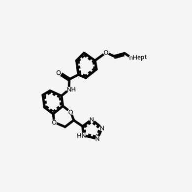 CCCCCCCC=COc1ccc(C(=O)Nc2cccc3c2OC(c2nnn[nH]2)CO3)cc1